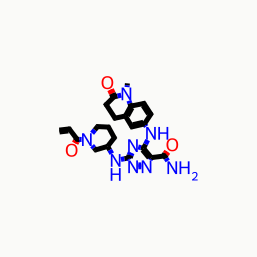 C=CC(=O)N1CCCC(Nc2nnc(C(N)=O)c(Nc3ccc4c(c3)CCC(=O)N4C)n2)C1